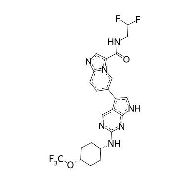 O=C(NCC(F)F)c1cnc2ccc(-c3c[nH]c4nc(N[C@H]5CC[C@@H](OC(F)(F)F)CC5)ncc34)cn12